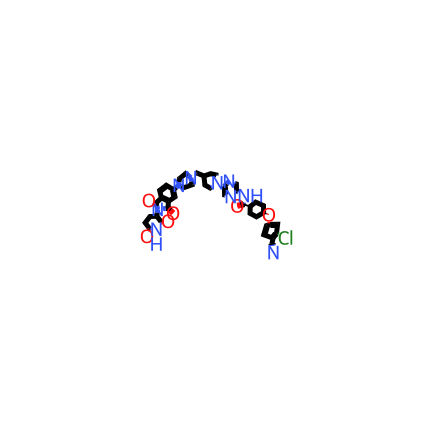 N#Cc1ccc(O[C@H]2CC[C@H](C(=O)Nc3cnc(N4CCC(CN5CCN(c6ccc7c(c6)C(=O)N(C6CCC(=O)NC6=O)C7=O)CC5)CC4)cn3)CC2)cc1Cl